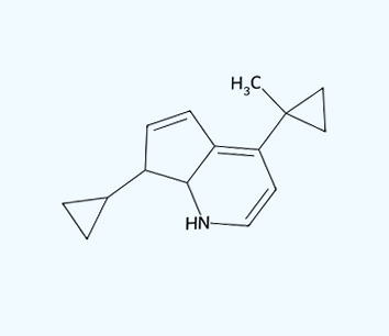 CC1(C2=C3C=CC(C4CC4)C3NC=C2)CC1